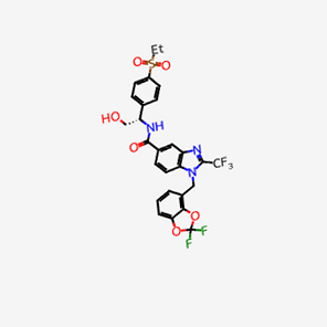 CCS(=O)(=O)c1ccc([C@@H](CO)NC(=O)c2ccc3c(c2)nc(C(F)(F)F)n3Cc2cccc3c2OC(F)(F)O3)cc1